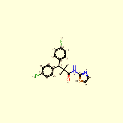 CC(C)(C(=O)Nc1nccs1)C(c1ccc(F)cc1)c1ccc(F)cc1